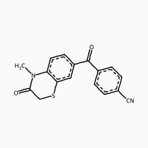 CN1C(=O)CSc2cc(C(=O)c3ccc(C#N)cc3)ccc21